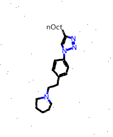 CCCCCCCCc1cn(-c2ccc(CCN3CCCCC3)cc2)nn1